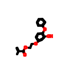 C=C(C)C(=O)OCCOc1ccc(Oc2ccccc2)c(O)c1